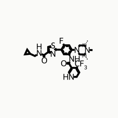 C[C@@H]1CN(c2cc(F)c(-c3nc(C(=O)NCC4CC4)cs3)cc2NC(=O)C2=CNCC=C2C(F)(F)F)C[C@H](C)N1C